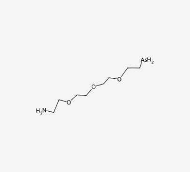 NCCOCCOCCOCC[AsH2]